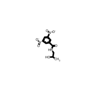 CC(O)CNC(=O)c1cc([N+](=O)[O-])cc([N+](=O)[O-])c1